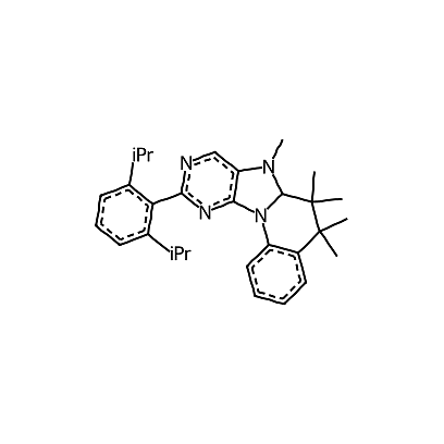 CC(C)c1cccc(C(C)C)c1-c1ncc2c(n1)N1c3ccccc3C(C)(C)C(C)(C)C1N2C